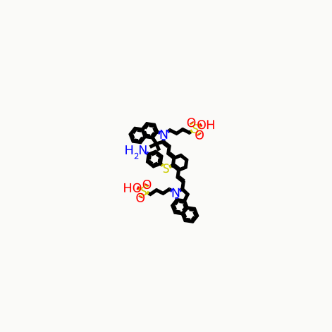 CC1(C)/C(=C\C=C2/CCCC(/C=C/C3Cc4c(ccc5ccccc45)N3CCCCS(=O)(=O)O)=C2Sc2ccc(N)cc2)N(CCCCS(=O)(=O)O)c2ccc3ccccc3c21